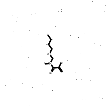 C=C(C)C(=O)N(C)COCCCC